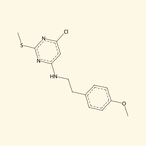 COc1ccc(CCNc2cc(Cl)nc(SC)n2)cc1